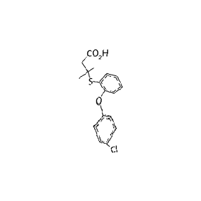 CC(C)(CC(=O)O)Sc1ccccc1Oc1ccc(Cl)cc1